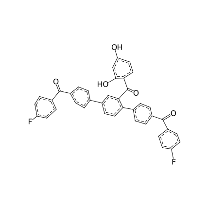 O=C(c1ccc(F)cc1)c1ccc(-c2ccc(-c3ccc(C(=O)c4ccc(F)cc4)cc3)c(C(=O)c3ccc(O)cc3O)c2)cc1